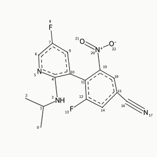 CC(C)Nc1ncc(F)cc1-c1c(F)cc(C#N)cc1[N+](=O)[O-]